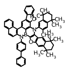 Cc1cc2c(cc1N1c3c(oc4cc5c(cc34)C(C)(C)CCC5(C)C)B3c4c(cc5c(oc6ccccc65)c41)-c1c(ccc4ccccc14)N3c1ccc(-c3ccccc3)cc1)C(C)(C)CCC2(C)C